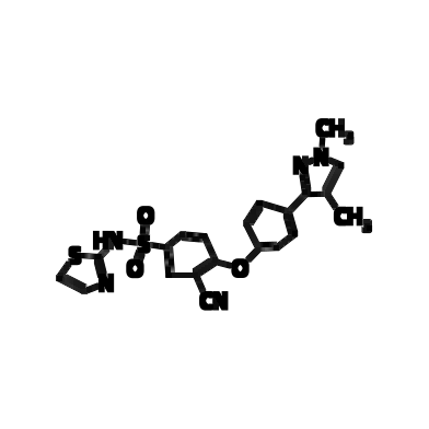 Cc1cn(C)nc1-c1ccc(Oc2ccc(S(=O)(=O)Nc3nccs3)cc2C#N)cc1